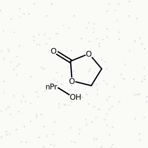 CCCO.O=C1OCCO1